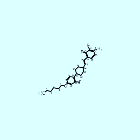 CCCCCCOc1ccc(C2CCC(/C=C/c3ccc(C)c(F)c3F)CC2)c(F)c1